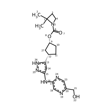 CC1(C)CCN1C(=O)O[C@@H]1CC[C@H](c2cc(Nc3cnc(CO)cn3)n[nH]2)C1